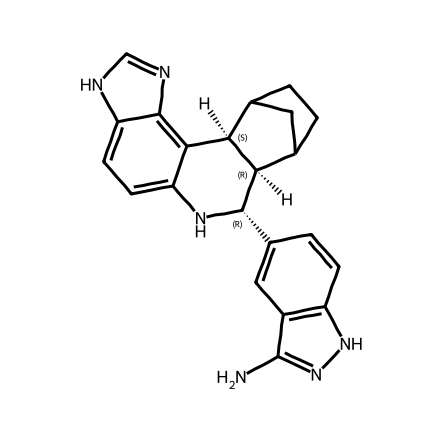 Nc1n[nH]c2ccc([C@@H]3Nc4ccc5[nH]cnc5c4[C@H]4C5CCC(C5)[C@@H]34)cc12